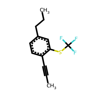 CC#Cc1ccc(CCC)cc1SC(F)(F)F